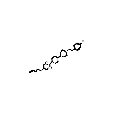 C=CCCC[C@H]1CO[C@H]([C@H]2CC[C@H]([C@H]3CC[C@H](CCc4ccc(F)cc4)CC3)CC2)OC1